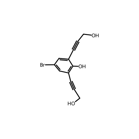 OCC#Cc1cc(Br)cc(C#CCO)c1O